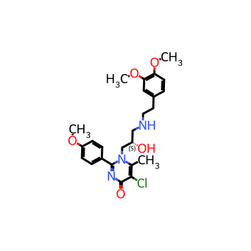 COc1ccc(-c2nc(=O)c(Cl)c(C)n2C[C@@H](O)CNCCc2ccc(OC)c(OC)c2)cc1